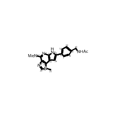 CNc1nc2[nH]c(-c3ccc(CNC(C)=O)cc3)cc2c2c1ncn2C